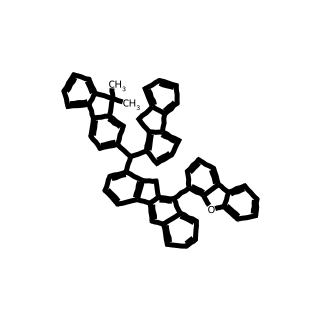 CC1(C)c2ccccc2-c2ccc(C(c3cccc4c3Cc3ccccc3-4)c3cccc4c3Cc3c-4cc4ccccc4c3-c3cccc4c3oc3ccccc34)cc21